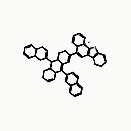 C1=CC2CC=C(C3C4CCC(C5=Cc6c(sc7c6CCC=C7)[C@@H]6C=CC=CC56)=CC4=C(c4ccc5ccccc5c4)C4C=CCCC43)CC2C=C1